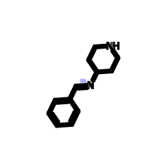 C(=N\C1CCNCC1)/c1ccccc1